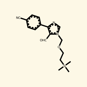 C[Si](C)(C)CCOCn1cnc(-c2ccc(C#N)cc2)c1C=O